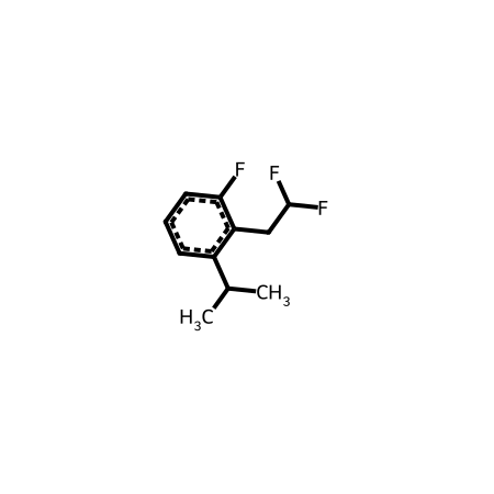 CC(C)c1cccc(F)c1CC(F)F